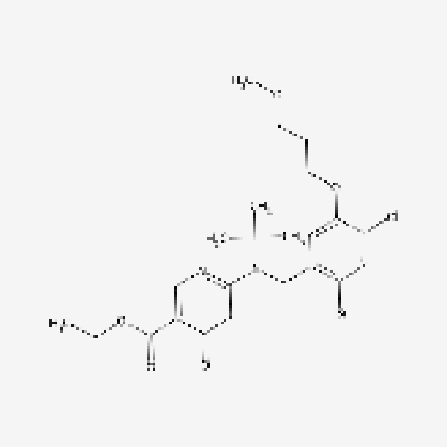 CCOC(=O)C1=CN=C(N(Cc2cc(OCCCOC)c(Cl)cc2Br)C(C)(C)C)CC1=O